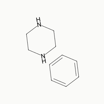 C1CNCCN1.c1ccccc1